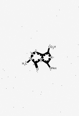 CCCCCCc1nc(C(=O)O)c2nnn(C)c(=O)n12